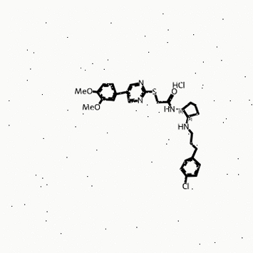 COc1ccc(-c2cnc(SCC(=O)N[C@@H]3CCC[C@H]3NCCCc3ccc(Cl)cc3)nc2)cc1OC.Cl